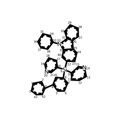 c1ccc(-c2cccc([Si](c3cccnc3)(c3cccnc3)c3ccc4c5ccccc5n(-c5ccccc5)c4c3)c2)cc1